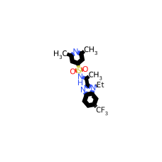 CCn1c(C(C)NS(=O)(=O)c2cc(C)nc(C)c2)nc2ccc(C(F)(F)F)cc21